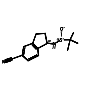 CC(C)(C)[S@@+]([O-])N[C@@H]1CCc2cc(C#N)ccc21